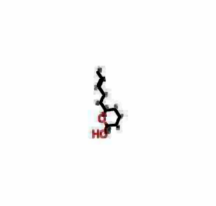 CC=CCCC1CCCC(O)O1